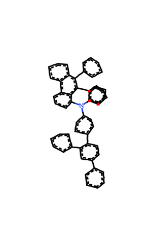 c1ccc(-c2ccc(-c3ccc(N(c4ccccc4)c4cccc5c4c(-c4ccccc4)c(-c4ccccc4)c4ccccc45)cc3)c(-c3ccccc3)c2)cc1